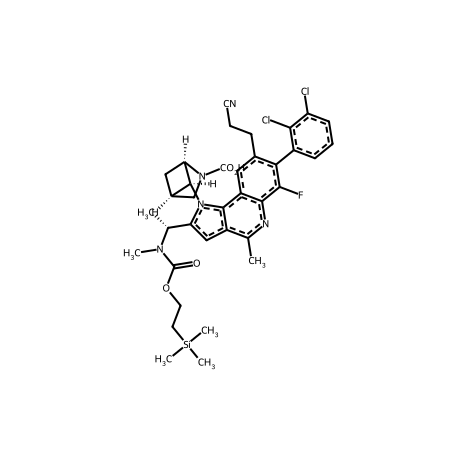 Cc1nc2c(F)c(-c3cccc(Cl)c3Cl)c(CCC#N)cc2c2c1cc([C@@H](C)N(C)C(=O)OCC[Si](C)(C)C)n2[C@H]1[C@@H]2C[C@H]1N(C(=O)O)C2